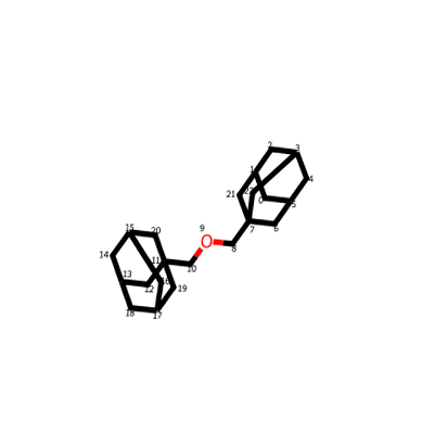 C1C2CC3CC1CC(COCC14CC5CC(CC(C5)C1)C4)(C2)C3